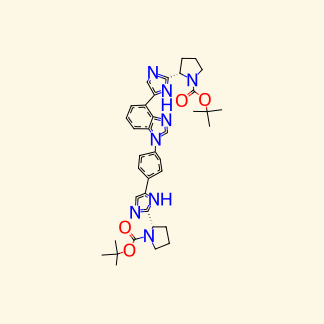 CC(C)(C)OC(=O)N1CCC[C@H]1c1ncc(-c2ccc(-n3cnc4c(-c5cnc([C@@H]6CCCN6C(=O)OC(C)(C)C)[nH]5)cccc43)cc2)[nH]1